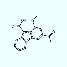 COc1cc(C(C)=O)cc2c1c(C(=O)O)c1ccccn12